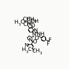 CC(C)C=C(C#N)C(=O)N1CCCC1Cn1c(NC(=O)c2ccc(C(F)F)cc2)nc2cc(CN(C(=O)O)C(C)C(C)(C)C)ccc21